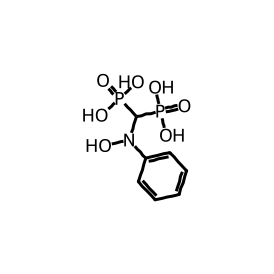 O=P(O)(O)C(N(O)c1ccccc1)P(=O)(O)O